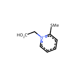 [CH2]Sc1cccc[n+]1CC(=O)O